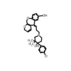 CC1(C)CN(CC/C=C2\C3=C(COc4ccc(O)cc42)OCC=C3)CCC1(O)c1ccc(Cl)cc1